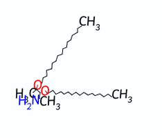 CCCCCCCCCCCCCCCCCCOC(C)C(OCCCCCCCCCCCCCCCCCC)C(C)N